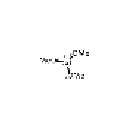 C[O][Gd]([O]C)[O]C